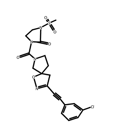 CS(=O)(=O)N1CCN(C(=O)N2CCC3(CC(C#Cc4cccc(Cl)c4)=NO3)C2)C1=O